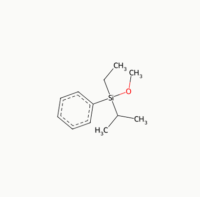 CC[Si](OC)(c1ccccc1)C(C)C